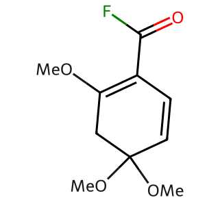 COC1=C(C(=O)F)C=CC(OC)(OC)C1